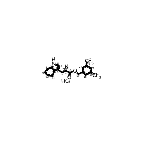 Cl.N[C@@H](Cc1c[nH]c2ccccc12)C(=O)OCc1cc(C(F)(F)F)cc(C(F)(F)F)c1